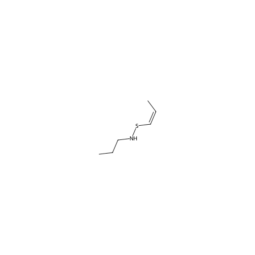 C/C=C\SNCCC